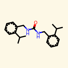 CC(C)c1ccccc1CNC(=O)NCc1ccccc1C(C)C